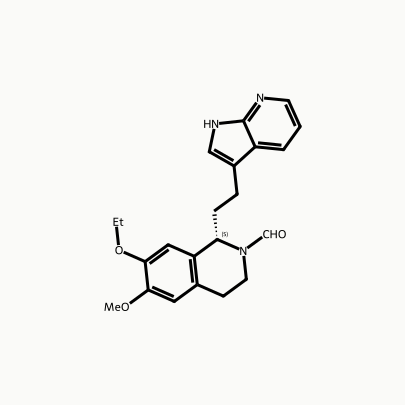 CCOc1cc2c(cc1OC)CCN(C=O)[C@H]2CCc1c[nH]c2ncccc12